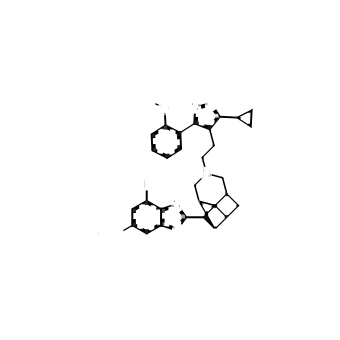 O=C(O)c1cc(F)c2nc(C3C4C5CC6CN(CCc7c(-c8ccccc8OC(F)(F)F)noc7C7CC7)CC4C653)sc2c1